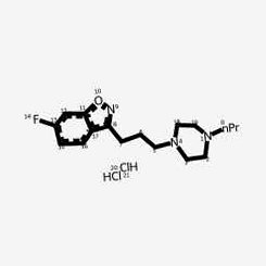 CCCN1CCN(CCCc2noc3cc(F)ccc23)CC1.Cl.Cl